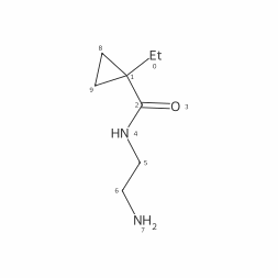 CCC1(C(=O)NCCN)CC1